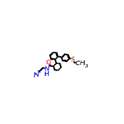 CCSc1ccc(-c2ccccc2C2CCCCC2C(=O)NCC#N)cc1